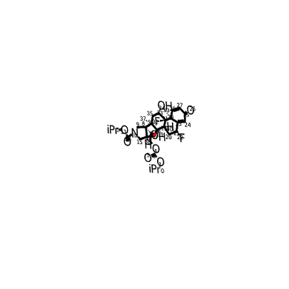 CC(C)OC(=O)OCC(=O)[C@@]12CN(C(=O)OC(C)C)C[C@@H]1C[C@H]1[C@@H]3C[C@H](F)C4=CC(=O)C=C[C@]4(C)[C@@]3(F)[C@@H](O)C[C@@]12C